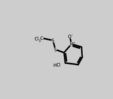 Cl.[O-][n+]1ccccc1SSC(Cl)(Cl)Cl